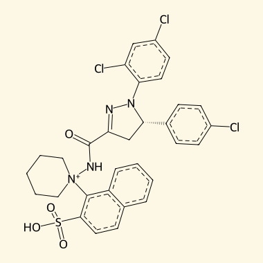 O=C(N[N+]1(c2c(S(=O)(=O)O)ccc3ccccc23)CCCCC1)C1=NN(c2ccc(Cl)cc2Cl)[C@H](c2ccc(Cl)cc2)C1